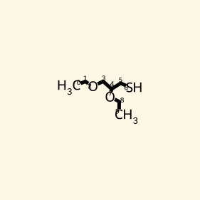 CCOCC(CS)OCC